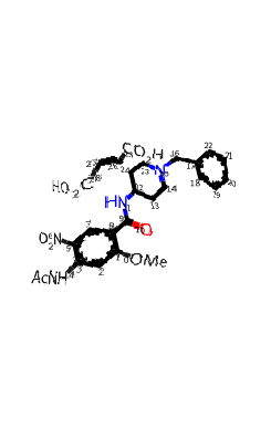 COc1cc(NC(C)=O)c([N+](=O)[O-])cc1C(=O)NC1CCN(Cc2ccccc2)CC1.O=C(O)C=CC(=O)O